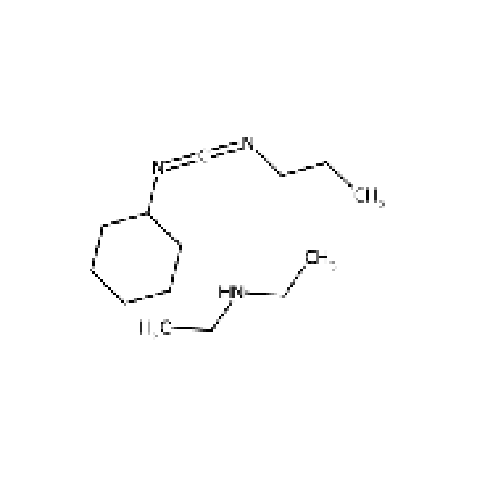 CCCN=C=NC1CCCCC1.CCNCC